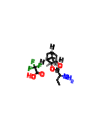 CCC(N)B1O[C@@H]2C[C@@H]3C[C@@H](C3(C)C)[C@]2(C)O1.O=C(O)C(F)(F)F